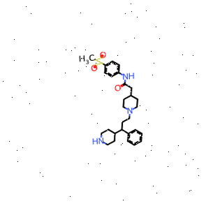 CS(=O)(=O)c1ccc(NC(=O)CC2CCN(CCC(c3ccccc3)C3CCNCC3)CC2)cc1